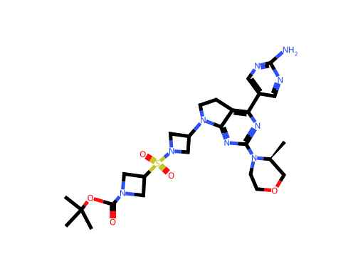 C[C@H]1COCCN1c1nc(-c2cnc(N)nc2)c2c(n1)N(C1CN(S(=O)(=O)C3CN(C(=O)OC(C)(C)C)C3)C1)CC2